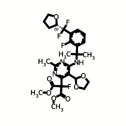 COC(=O)C(F)(C(=O)OC)c1nc(C)nc(NC(C)(C)c2cccc(C(F)(F)[C@@H]3CCCO3)c2F)c1C1OCCO1